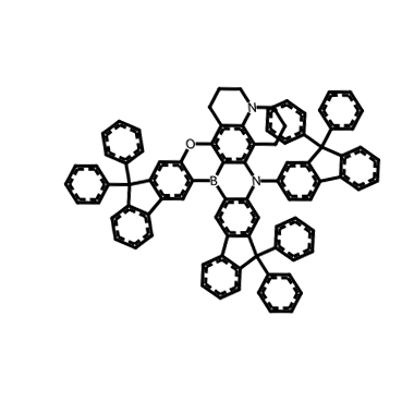 c1ccc(C2(c3ccccc3)c3ccccc3-c3ccc(N4c5cc6c(cc5B5c7cc8c(cc7Oc7c9c%10c(c4c75)CCCN%10CCC9)C(c4ccccc4)(c4ccccc4)c4ccccc4-8)-c4ccccc4C6(c4ccccc4)c4ccccc4)cc32)cc1